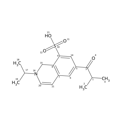 CC(C)C(=O)c1cc2c(c(S(=O)(=O)O)c1)CN(C(C)C)C=C2